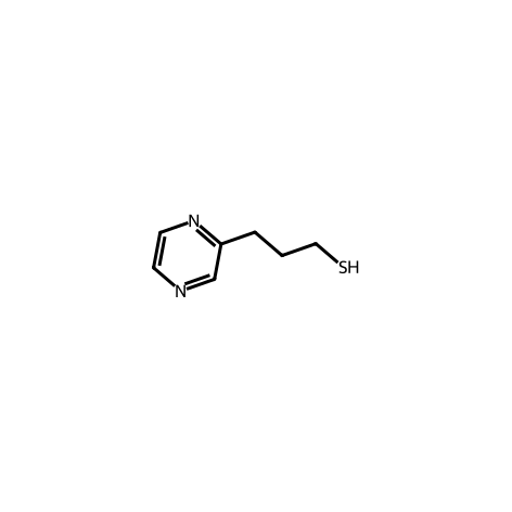 SCCCc1cnccn1